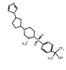 C[C@@H]1CN(C2CCC(n3ccnc3)C2)CCN1S(=O)(=O)c1ccc(C(C)(O)C(F)(F)F)cc1